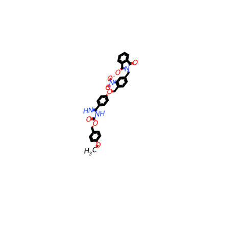 COc1ccc(COC(=O)NC(=N)c2ccc(OCc3ccc(CN4C(=O)c5ccccc5C4=O)cc3[N+](=O)[O-])cc2)cc1